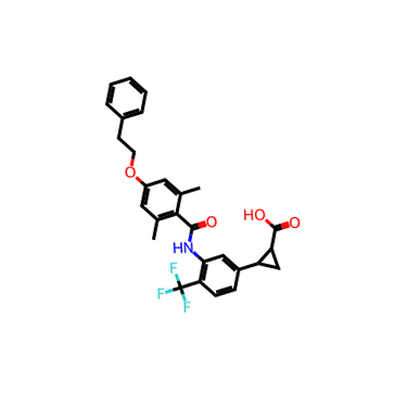 Cc1cc(OCCc2ccccc2)cc(C)c1C(=O)Nc1cc(C2CC2C(=O)O)ccc1C(F)(F)F